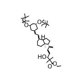 C=C(/C=C/[C@@H](O)C(C)(C)C(=O)OCC)[C@H]1CC[C@H]2/C(=C/C=C3C[C@@H](O[Si](C)(C)C(C)(C)C)C[C@H](O[Si](C)(C)C(C)(C)C)C3)CCC[C@]12C